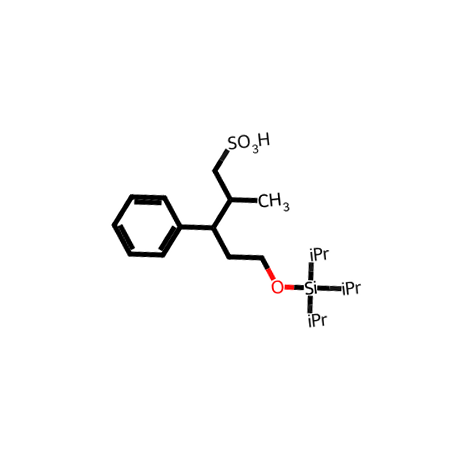 CC(CS(=O)(=O)O)C(CCO[Si](C(C)C)(C(C)C)C(C)C)c1ccccc1